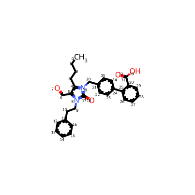 CCCCc1c(C=O)n(CCc2ccccc2)c(=O)n1Cc1ccc(-c2ccccc2C(=O)O)cc1